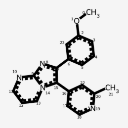 COc1cccc(-c2nc3ncccn3c2-c2ccnc(C)c2)c1